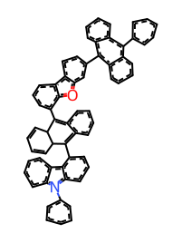 C1=CC2C(c3cccc4c3oc3cc(-c5c6ccccc6c(-c6ccccc6)c6ccccc56)ccc34)=c3ccccc3=C(c3cccc4c3c3ccccc3n4-c3ccccc3)C2C=C1